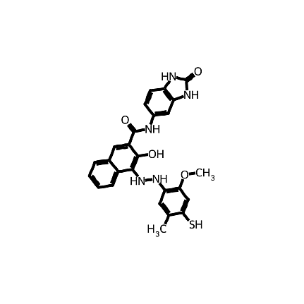 COc1cc(S)c(C)cc1NNc1c(O)c(C(=O)Nc2ccc3[nH]c(=O)[nH]c3c2)cc2ccccc12